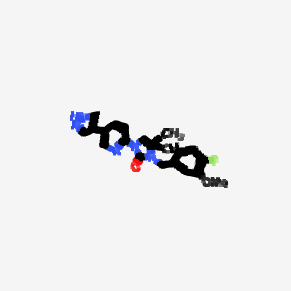 COc1cc(CN2C(=O)N(c3ccc(-c4cn[nH]c4)cn3)CC2(C)C)ccc1F